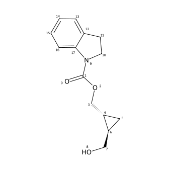 O=C(OC[C@@H]1C[C@H]1CO)N1CCc2ccccc21